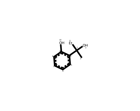 CCC(C)(O)c1ccccc1O